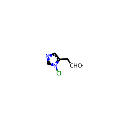 O=[C]Cc1cncn1Cl